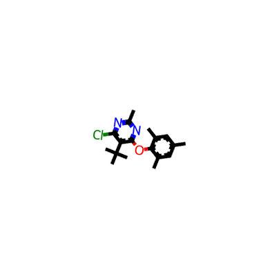 Cc1cc(C)c(Oc2nc(C)nc(Cl)c2C(C)(C)C)c(C)c1